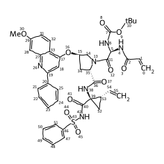 C=CC(=O)N[C@H](NC(=O)OC(C)(C)C)C(=O)N1C[C@H](Oc2cc(-c3ccccc3)nc3cc(OC)ccc23)C[C@H]1C(=O)N[C@]1(C(=O)NS(=O)(=O)c2ccccc2)C[C@H]1C=C